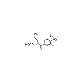 CCC1(c2ccc(C(=O)N(CCO)CCO)cc2C)CC1